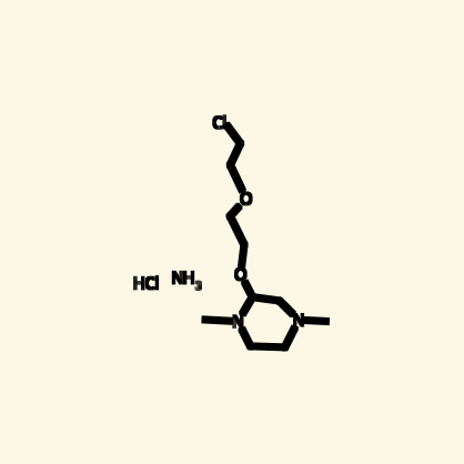 CN1CCN(C)C(OCCOCCCl)C1.Cl.N